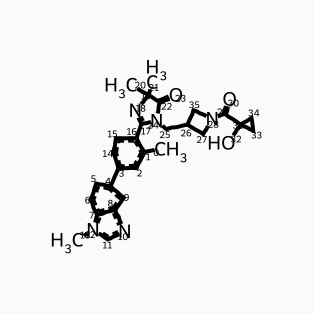 Cc1cc(-c2ccc3c(c2)ncn3C)ccc1C1=NC(C)(C)C(=O)N1CC1CN(C(=O)C2(O)CC2)C1